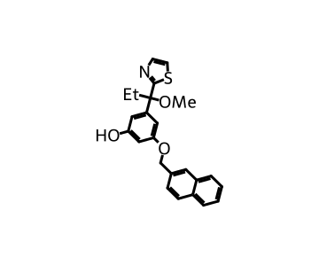 CCC(OC)(c1cc(O)cc(OCc2ccc3ccccc3c2)c1)c1nccs1